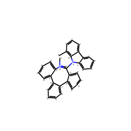 Cc1cccc2c3ccccc3n(/C3=[N+](\C)c4ccccc4-c4ccccc4-c4ccccc43)c12